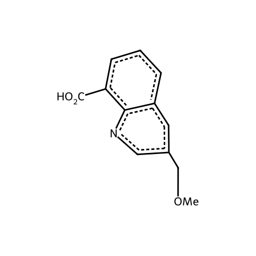 COCc1cnc2c(C(=O)O)cccc2c1